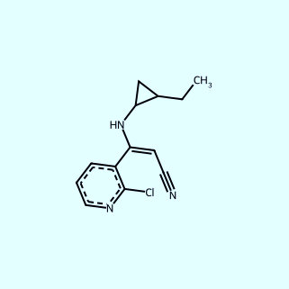 CCC1CC1NC(=CC#N)c1cccnc1Cl